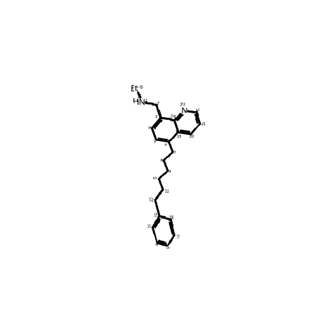 [CH2]CNCc1ccc(CCCCCCc2ccccc2)c2cccnc12